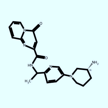 CC(NC(=O)c1cc(=O)n2ccccc2n1)c1ccc(N2CCC[C@@H](N)C2)cn1